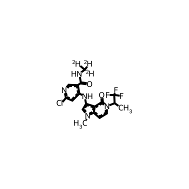 [2H]C([2H])([2H])NC(=O)c1cnc(Cl)cc1Nc1cn(C)c2ccn(C(C)C(F)(F)F)c(=O)c12